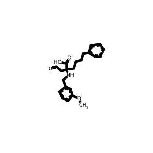 COc1cccc(CNC(CC=O)(CCCCc2ccccc2)C(=O)O)c1